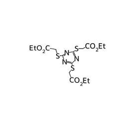 CCOC(=O)CSc1nc(SCC(=O)OCC)nc(SCC(=O)OCC)n1